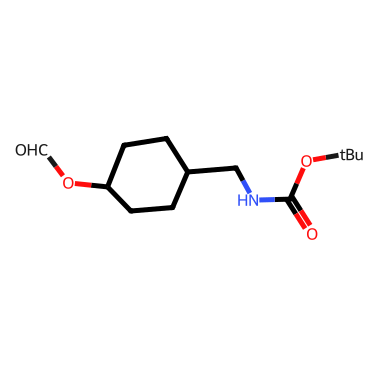 CC(C)(C)OC(=O)NCC1CCC(OC=O)CC1